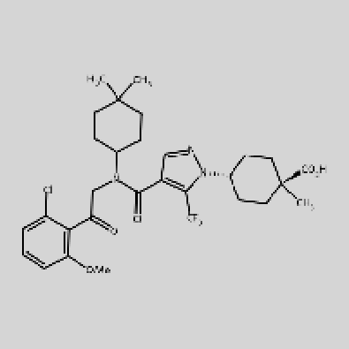 COc1cccc(Cl)c1C(=O)CN(C(=O)c1cnn([C@H]2CC[C@](C)(C(=O)O)CC2)c1C(F)(F)F)C1CCC(C)(C)CC1